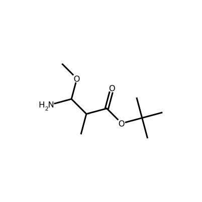 COC(N)[C](C)C(=O)OC(C)(C)C